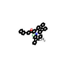 CCC1(c2ccccc2)c2ccccc2-c2ccc(N(c3ccc4c(c3)C(c3ccccc3)(c3ccccc3)c3ccccc3-4)c3ccc4oc5cc(-c6ccc7ccccc7c6)ccc5c4c3Cl)cc21